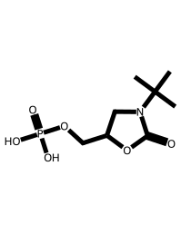 CC(C)(C)N1CC(COP(=O)(O)O)OC1=O